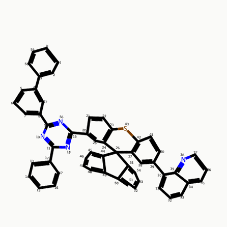 c1ccc(-c2cccc(-c3nc(-c4ccccc4)nc(-c4ccc5c(c4)C4(c6cc(-c7cccc8cccnc78)ccc6S5)c5ccccc5-c5ccccc54)n3)c2)cc1